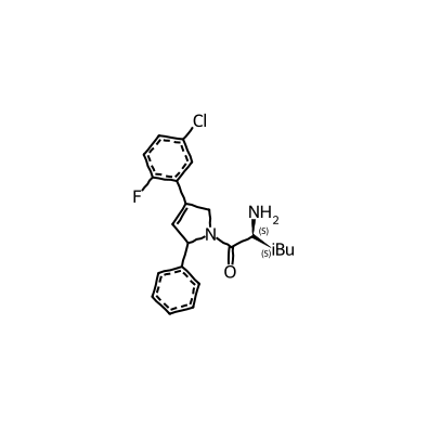 CC[C@H](C)[C@H](N)C(=O)N1CC(c2cc(Cl)ccc2F)=CC1c1ccccc1